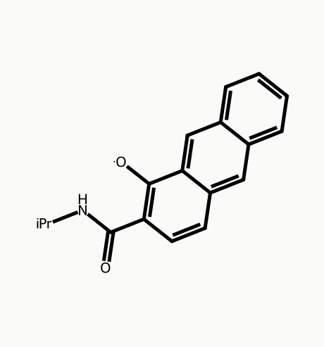 CC(C)NC(=O)c1ccc2cc3ccccc3cc2c1[O]